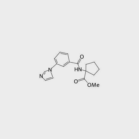 COC(=O)C1(NC(=O)c2cccc(-n3ccnc3)c2)CCCC1